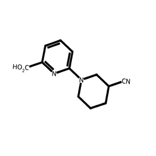 N#CC1CCCN(c2cccc(C(=O)O)n2)C1